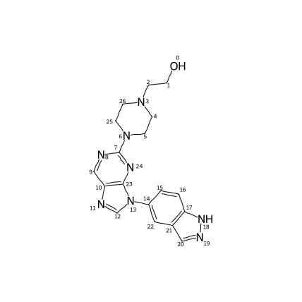 OCCN1CCN(c2ncc3ncn(-c4ccc5[nH]ncc5c4)c3n2)CC1